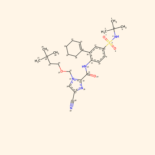 CC(C)(C)NS(=O)(=O)c1ccc(NC(=O)c2nc(C#N)cn2COCC[Si](C)(C)C)c(C2=CCCCC2)c1